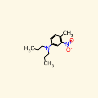 CCCN(CCC)c1ccc(C)c([N+](=O)[O-])c1